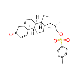 Cc1ccc(S(=O)(=O)OC[C@@H](C)[C@H]2CC[C@H]3[C@@H]4CC=C5CC(=O)C=C[C@]5(C)[C@H]4CC[C@]23C)cc1